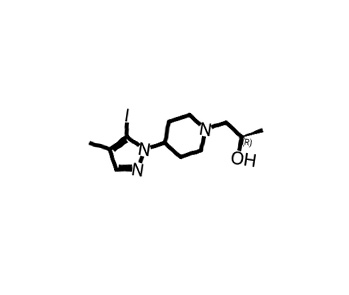 Cc1cnn(C2CCN(C[C@@H](C)O)CC2)c1I